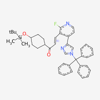 CC(C)(C)[Si](C)(C)OC1CCC(C(=O)/C=C/c2c(-c3cn(C(c4ccccc4)(c4ccccc4)c4ccccc4)cn3)ccnc2F)CC1